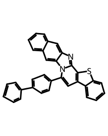 c1ccc(-c2ccc(-c3cc4c5ccccc5sc4c4nc5cc6ccccc6cc5n34)cc2)cc1